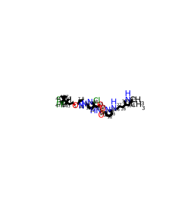 [2H]C([2H])(CCOc1ccn(-c2ccc(C(=O)NS(=O)(=O)c3cccc(NCCCC4CNC(C)(C)C4)n3)c(Cl)n2)n1)C1(C(F)(F)F)CC1